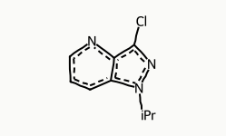 CC(C)n1nc(Cl)c2ncccc21